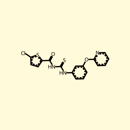 O=C(NC(=S)Nc1cccc(Oc2ccccn2)c1)c1ccc(Cl)s1